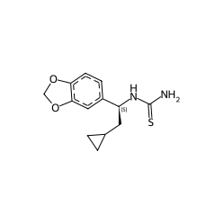 NC(=S)N[C@@H](CC1CC1)c1ccc2c(c1)OCO2